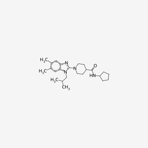 Cc1cc2nc(N3CCC(C(=O)NC4CCCC4)CC3)n(CC(C)C)c2cc1C